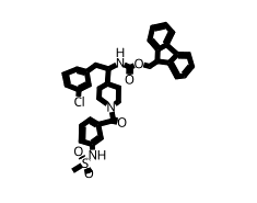 CS(=O)(=O)Nc1cccc(C(=O)N2CCC(C(Cc3cccc(Cl)c3)NC(=O)OCC3c4ccccc4-c4ccccc43)CC2)c1